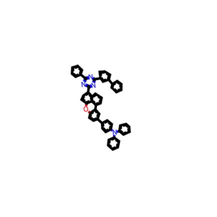 c1ccc(-c2cccc(-c3nc(-c4ccccc4)nc(-c4ccc5c6c(cccc46)-c4cc(-c6ccc(N(c7ccccc7)c7ccccc7)cc6)ccc4O5)n3)c2)cc1